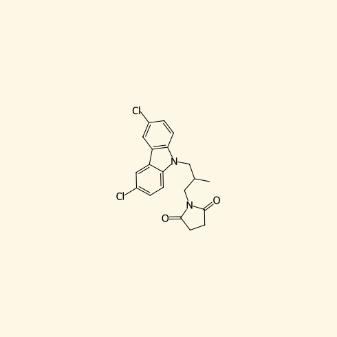 CC(CN1C(=O)CCC1=O)Cn1c2ccc(Cl)cc2c2cc(Cl)ccc21